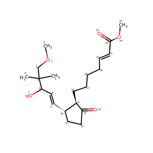 COCC(C)(C)C(O)/C=C/[C@H]1CCC(=O)[C@@H]1CCCC/C=C/C(=O)OC